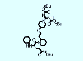 CC(C)(C)OC(=O)CC[C@H](NC1CCCCC1)C(=O)N1CCCC[C@@H]1CCOC1CCN(C(=NC(=O)OC(C)(C)C)NC(=O)OC(C)(C)C)CC1